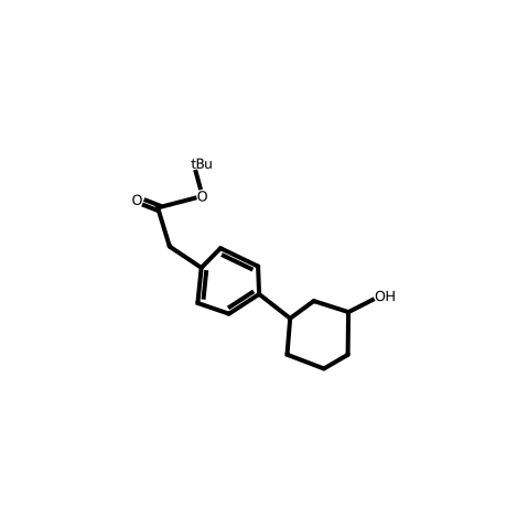 CC(C)(C)OC(=O)Cc1ccc(C2CCCC(O)C2)cc1